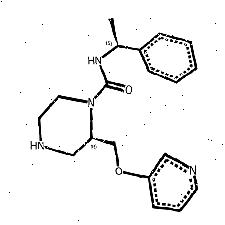 C[C@H](NC(=O)N1CCNC[C@@H]1COc1cccnc1)c1ccccc1